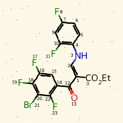 CCOC(=O)/C(=C\Nc1ccc(F)cc1F)C(=O)c1cc(F)c(F)c(Br)c1F